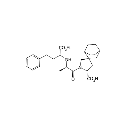 CCOC(=O)[C@@H](CCc1ccccc1)N[C@H](C)C(=O)N1C[C@@]2(CC3CCC2CC3)C[C@@H]1C(=O)O